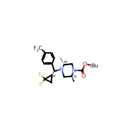 C[C@@H]1CN(C(=O)OC(C)(C)C)[C@@H](C)CN1C(c1ccc(C(F)(F)F)cc1)[C@@H]1CC1(F)F